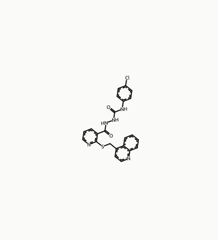 O=C(NNC(=O)c1cccnc1SCc1ccnc2ccccc12)Nc1ccc(Cl)cc1